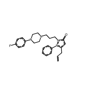 C=CCc1cc(=O)n(CCCN2CCN(c3ccc(F)cc3)CC2)n1-c1ccccc1